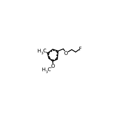 COc1cc(C)cc(COCCF)c1